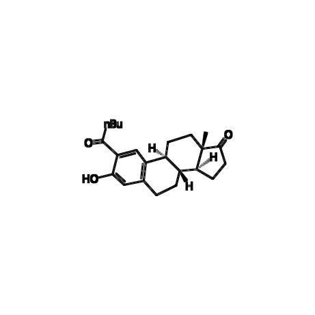 CCCCC(=O)c1cc2c(cc1O)CC[C@@H]1[C@@H]2CC[C@]2(C)C(=O)CC[C@@H]12